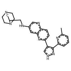 Cc1cccc(-c2n[nH]cc2-c2ccc3ncc(NCC4CN5CCN4CC5)cc3n2)n1